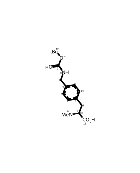 CN[C@@H](Cc1ccc(CNC(=O)OC(C)(C)C)cc1)C(=O)O